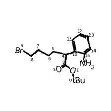 CC(C)(C)OC(=O)C(CCCCBr)c1ccccc1N